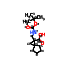 CC(C)(C)OC(=O)NCC1(C(=O)O)CC12CCCC2